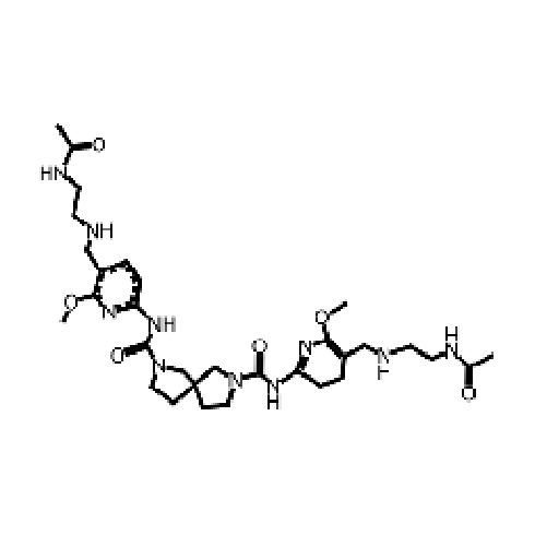 COC1=C(CNCCNC(C)=O)CCC(NC(=O)N2CCC3(CCN(C(=O)Nc4ccc(CNCCNC(C)=O)c(OC)n4)C3)C2)=N1